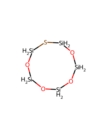 O1[SiH2]O[SiH2]O[SiH2]S[SiH2]O[SiH2]1